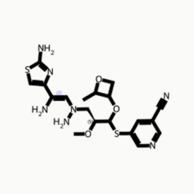 CO[C@@H](CN(N)/C=C(\N)c1csc(N)n1)C(OC1COC1C)Sc1cncc(C#N)c1